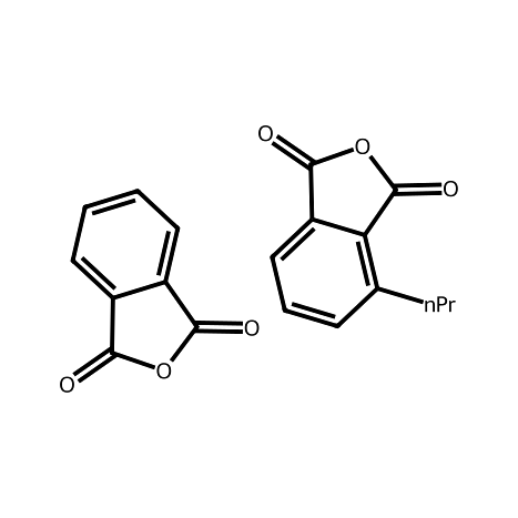 CCCc1cccc2c1C(=O)OC2=O.O=C1OC(=O)c2ccccc21